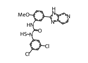 COc1ccc(-c2nc3ccncc3[nH]2)cc1NC(=O)N(S)c1cc(Cl)cc(Cl)c1